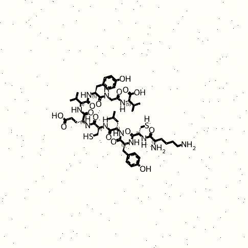 CC(C)C[C@H](NC(=O)[C@H](Cc1ccc(O)cc1)NC(=O)[C@H](CS)NC(=O)[C@@H](N)CCCCN)C(=O)N[C@@H](CS)C(=O)N[C@H](CCC(=O)O)C(=O)N[C@H](C(=O)N[C@@H](Cc1ccc(O)cc1)C(=O)NCC(=O)N[C@H](C(=O)O)C(C)C)C(C)C